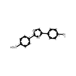 CCCCCCCCc1ccc(-c2ncc(-c3ccc(CC)cc3)s2)cc1